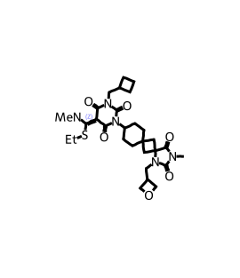 CCS/C(NC)=C1/C(=O)N(CC2CCC2)C(=O)N(C2CCC3(CC2)CC2(C3)C(=O)N(C)C(=O)N2CC2COC2)C1=O